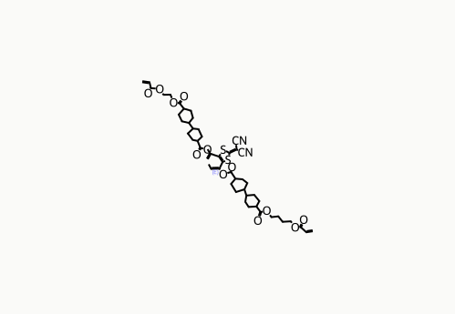 C=CC(=O)OCCCCOC(=O)C1CCC(C2CCC(C(=O)O/C(=C/C)C3=C(C(=C)OC(=O)C4CCC(C5CCC(C(=O)OCCOC(=O)C=C)CC5)CC4)SC(=C(C#N)C#N)S3)CC2)CC1